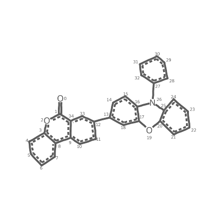 O=c1oc2ccccc2c2ccc(-c3ccc4c(c3)Oc3ccccc3N4c3ccccc3)cc12